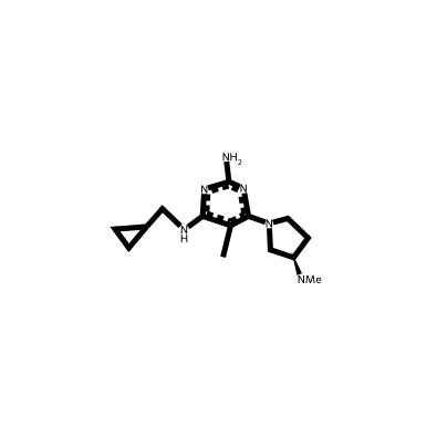 CN[C@@H]1CCN(c2nc(N)nc(NCC3CC3)c2C)C1